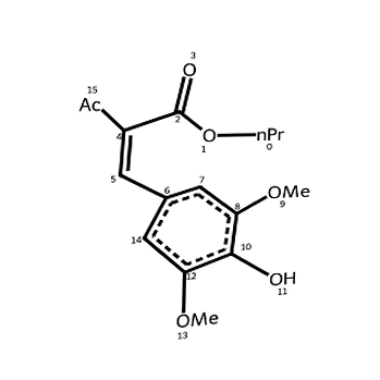 CCCOC(=O)C(=Cc1cc(OC)c(O)c(OC)c1)C(C)=O